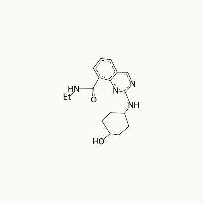 CCNC(=O)c1cccc2cnc(NC3CCC(O)CC3)nc12